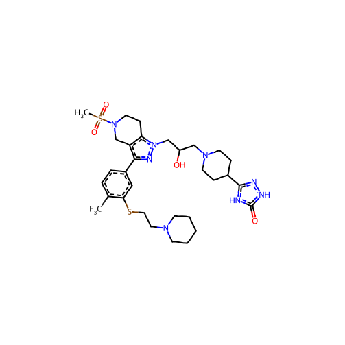 CS(=O)(=O)N1CCc2c(c(-c3ccc(C(F)(F)F)c(SCCN4CCCCC4)c3)nn2CC(O)CN2CCC(c3n[nH]c(=O)[nH]3)CC2)C1